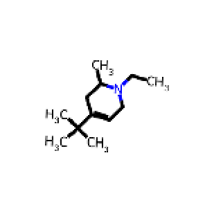 CCN1CC=C(C(C)(C)C)CC1C